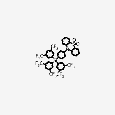 O=S1(=O)c2ccccc2N(c2ccc([Si](c3cc(C(F)(F)F)cc(C(F)(F)F)c3)(c3cc(C(F)(F)F)cc(C(F)(F)F)c3)c3cc(C(F)(F)F)cc(C(F)(F)F)c3)cc2)c2ccccc21